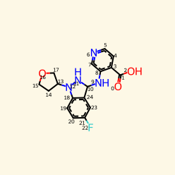 O=C(O)c1ccncc1NC1NN(C2CCOC2)c2ccc(F)cc21